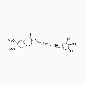 COc1cc2c(cc1OC)CC(=O)N(CCCNCCNCc1cc(Cl)c(N)c(Cl)c1)CC2